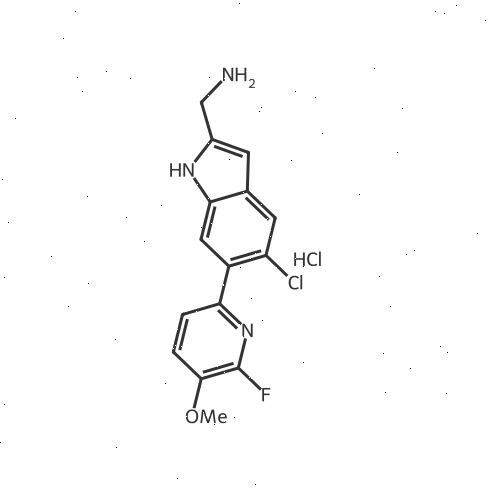 COc1ccc(-c2cc3[nH]c(CN)cc3cc2Cl)nc1F.Cl